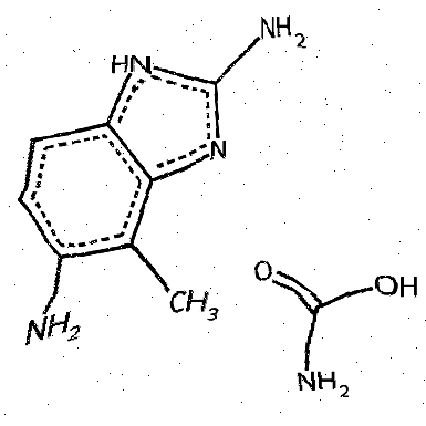 Cc1c(N)ccc2[nH]c(N)nc12.NC(=O)O